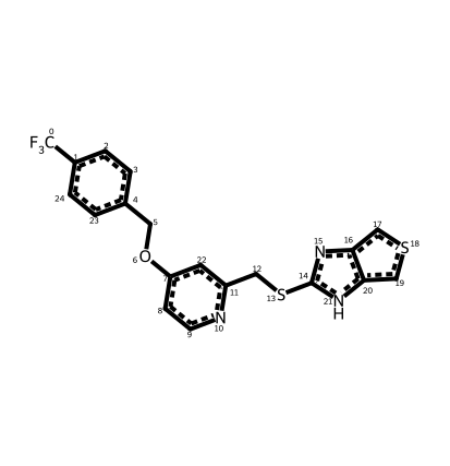 FC(F)(F)c1ccc(COc2ccnc(CSc3nc4cscc4[nH]3)c2)cc1